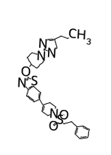 CCCc1cnc(N2CCC(Oc3nc4ccc(C5=CCN(S(=O)(=O)CCc6ccccc6)CC5)cc4s3)CC2)nc1